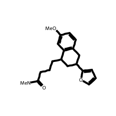 CNC(=O)CCCC1CC(c2ccco2)Cc2ccc(OC)cc21